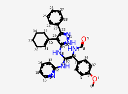 COc1ccc(/C(NC=O)=C(\Nc2ccccn2)Nc2[nH]nc(-c3ccccc3)c2C2=CCCCC2)cc1